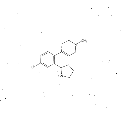 CN1CC=C(c2ccc(Cl)cc2C2CCCN2)CC1